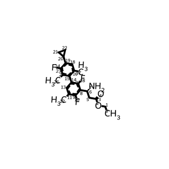 CCOC(=O)C[C@H](N)c1c(F)c(C)cc(-c2c(C)cc(C3CC3)c(F)c2C)c1F